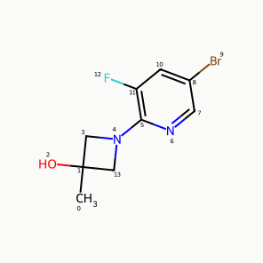 CC1(O)CN(c2ncc(Br)cc2F)C1